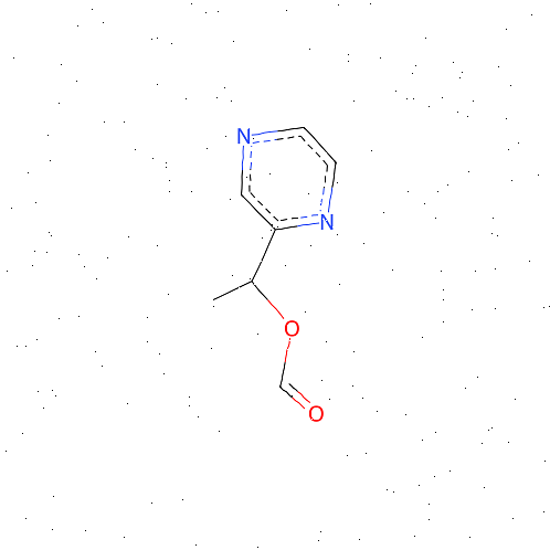 CC(OC=O)c1cnccn1